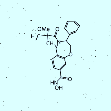 COC(C)(C)C(=O)N1Cc2ccc(C(=O)NO)cc2OCC1c1ccccc1